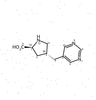 O=C(O)[C@@H]1C[C@@H](Cc2cncnc2)CN1